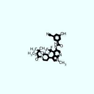 C[C@@H](C(=O)N1CCC(c2cn(C)c3ncc(NC(=O)c4cc(O)cc(C#N)c4)c(C(F)(F)F)c23)CC1)C(C)(C)C